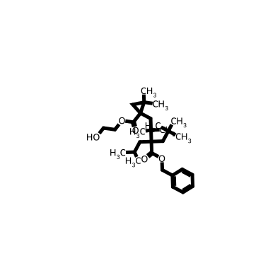 CC(C)CC(CC(C)(C)C)(C(=O)OCc1ccccc1)C(C)(C)CC1(C(=O)OCCO)CC1(C)C